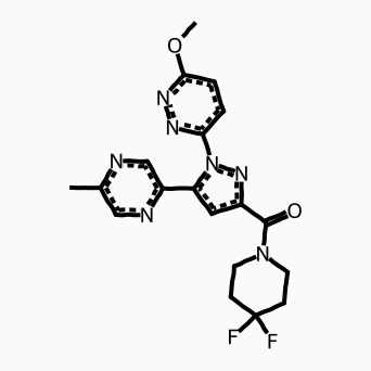 COc1ccc(-n2nc(C(=O)N3CCC(F)(F)CC3)cc2-c2cnc(C)cn2)nn1